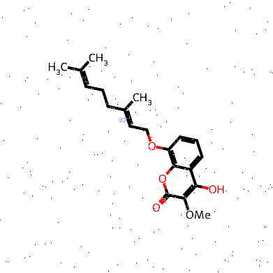 COc1c(O)c2cccc(OC/C=C(\C)CCC=C(C)C)c2oc1=O